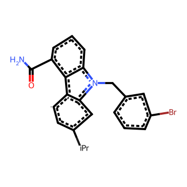 CC(C)c1c[c]c2c3c(C(N)=O)cccc3n(Cc3cccc(Br)c3)c2c1